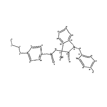 CCCCc1ccc(C(=O)CC2(O)C(=O)N(Cc3ccc(C)cc3)c3ccccc32)cc1